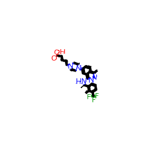 Cc1c([C@@H](C)Nc2nnc(C)c3ccc(N4CCN(CCCCC(=O)O)CC4)cc23)cccc1C(F)(F)F